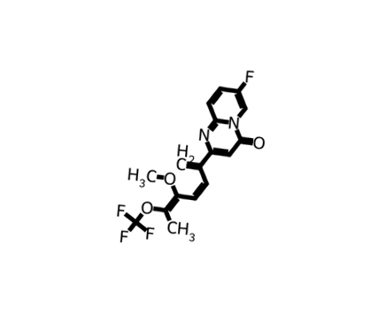 C=C(/C=C\C(OC)=C(/C)OC(F)(F)F)c1cc(=O)n2cc(F)ccc2n1